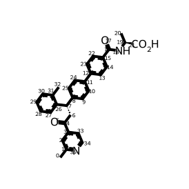 Cc1cc(C(=O)C[C@@H](c2ccc(-c3ccc(C(=O)N[C@@H](C)C(=O)O)cc3)cc2)c2ccccc2C)ccn1